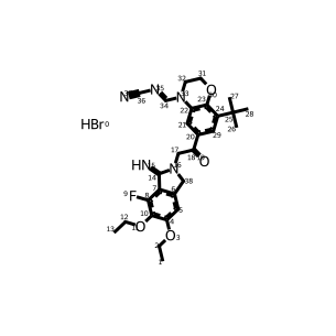 Br.CCOc1cc2c(c(F)c1OCC)C(=N)N(CC(=O)c1cc3c(c(C(C)(C)C)c1)OCCN3C=NC#N)C2